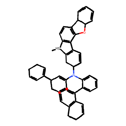 C[SiH]1C2=C(C=CC(N(C3=CC(C4=CCCC=C4)CC=C3)c3ccccc3-c3cccc4c3C=CCC4)C2)c2c1ccc1c2OC2C=CC=CC12